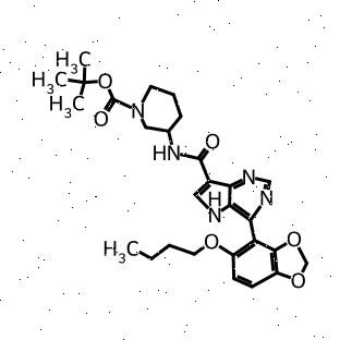 CCCCOc1ccc2c(c1-c1ncnc3c(C(=O)NC4CCCN(C(=O)OC(C)(C)C)C4)c[nH]c13)OCO2